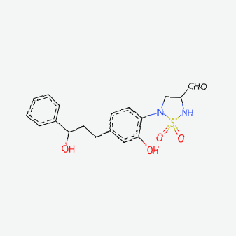 O=CC1CN(c2ccc(CCC(O)c3ccccc3)cc2O)S(=O)(=O)N1